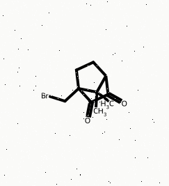 CC1(C)C2CCC1(CBr)C(=O)C2=O